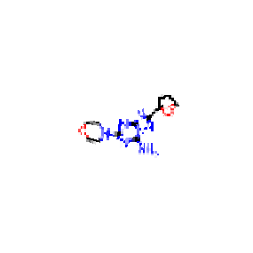 Nc1nc(N2CCOCC2)nc2nc(-c3ccco3)nn12